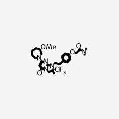 COC1CCCCN(c2cc(=O)n3c(n2)N(CCc2ccc(OCC(=O)N(C)C)cc2)[C@](C)(C(F)(F)F)C3)C1